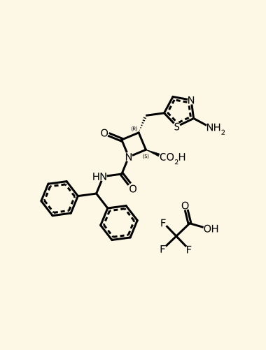 Nc1ncc(C[C@H]2C(=O)N(C(=O)NC(c3ccccc3)c3ccccc3)[C@@H]2C(=O)O)s1.O=C(O)C(F)(F)F